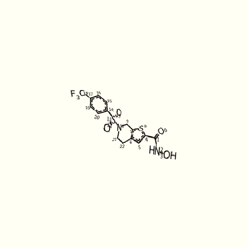 O=C(NO)c1cc2c(s1)CN(S(=O)(=O)c1ccc(C(F)(F)F)cc1)CC2